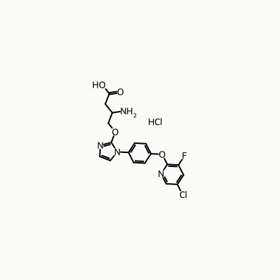 Cl.NC(COc1nccn1-c1ccc(Oc2ncc(Cl)cc2F)cc1)CC(=O)O